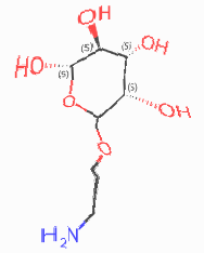 NCCOC1O[C@H](O)[C@@H](O)[C@H](O)[C@@H]1O